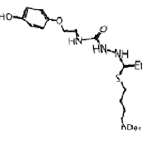 CCCCCCCCCCCCCCSC(CC)NNC(=O)NCCOc1ccc(O)cc1